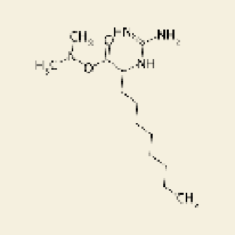 CCCCCCCCC(NC(=N)N)C(=O)ON(C)C